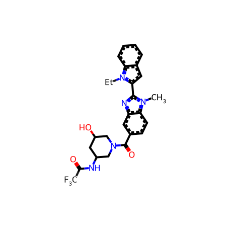 CCn1c(-c2nc3cc(C(=O)N4CC(O)CC(NC(=O)C(F)(F)F)C4)ccc3n2C)cc2ccccc21